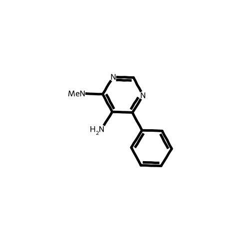 CNc1ncnc(-c2ccccc2)c1N